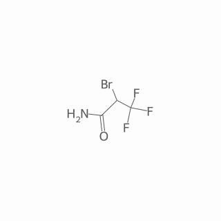 NC(=O)C(Br)C(F)(F)F